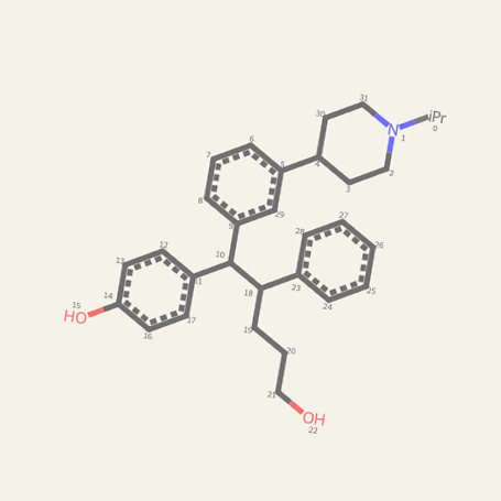 CC(C)N1CCC(c2cccc(C(c3ccc(O)cc3)C(CCCO)c3ccccc3)c2)CC1